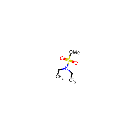 COS(=O)(=O)N(CC(F)(F)F)CC(F)(F)F